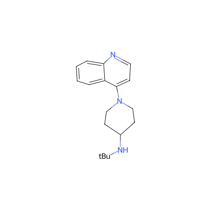 CC(C)(C)NC1CCN(c2ccnc3ccccc23)CC1